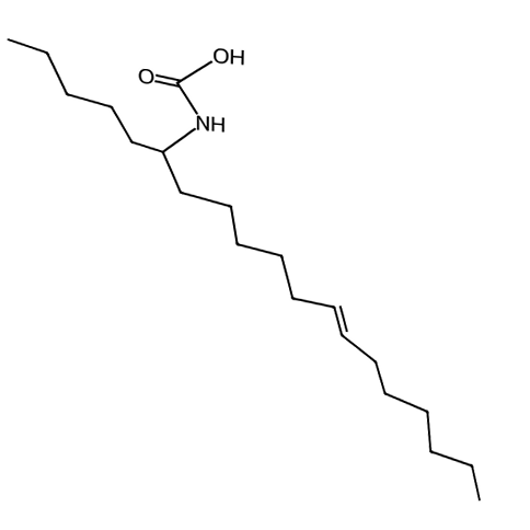 CCCCCC/C=C/CCCCCC(CCCCC)NC(=O)O